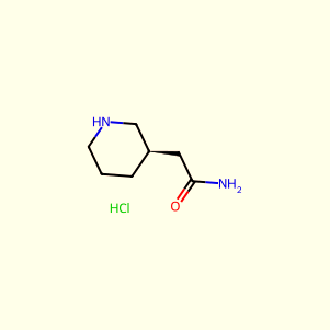 Cl.NC(=O)C[C@H]1CCCNC1